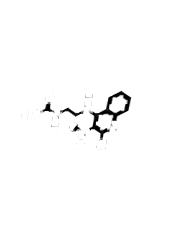 O=C(O)NCCNc1c([N+](=O)[O-])c(Cl)nc2ccccc12